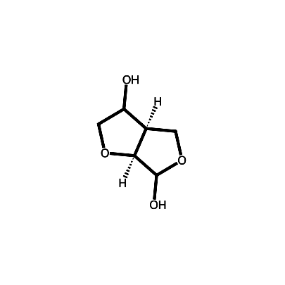 OC1CO[C@@H]2C(O)OC[C@H]12